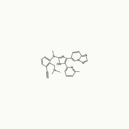 Cc1cccc(-c2[nH]c(N(C)c3cccc(C#N)c3CN(C)C)nc2-c2ccc3ncnn3c2)n1